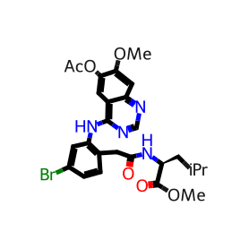 COC(=O)[C@H](CC(C)C)NC(=O)Cc1ccc(Br)cc1Nc1ncnc2cc(OC)c(OC(C)=O)cc12